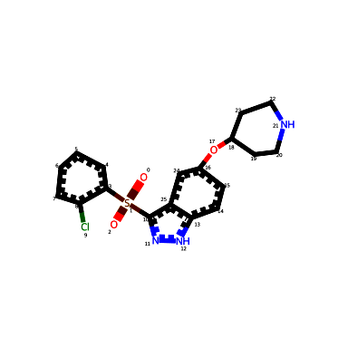 O=S(=O)(c1ccccc1Cl)c1n[nH]c2ccc(OC3CCNCC3)cc12